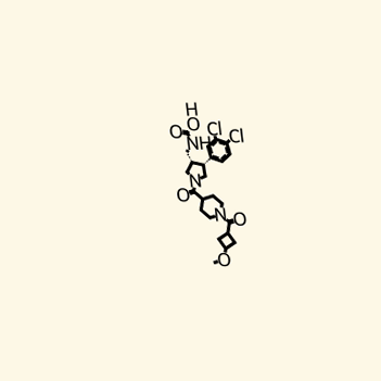 COC1CC(C(=O)N2CCC(C(=O)N3C[C@H](CNC(=O)O)[C@H](c4ccc(Cl)c(Cl)c4)C3)CC2)C1